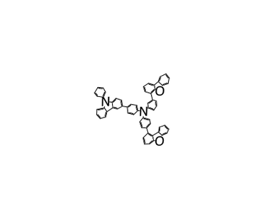 c1ccc(-n2c3ccccc3c3cc(-c4ccc(N(c5ccc(-c6cccc7oc8ccccc8c67)cc5)c5cccc(-c6cccc7c6oc6ccccc67)c5)cc4)ccc32)cc1